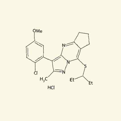 CCC(CC)Sc1c2c(nc3c(-c4cc(OC)ccc4Cl)c(C)nn13)CCC2.Cl